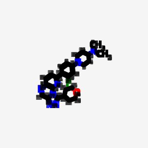 CN(C)C1CCN(c2ccc(-c3ccc4ncc5nnc(C6CCOCC6)n5c4n3)c(F)c2)CC1